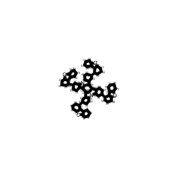 c1ccc2c(c1)oc1cccc(-c3ccc4c(c3)c3c5c6ccc(-c7cccc8oc9ccccc9c78)cc6n6c7ccc(-c8cccc9oc%10ccccc%10c89)cc7c(c7c8ccc(-c9cccc%10oc%11ccccc%11c9%10)cc8n4c37)c56)c12